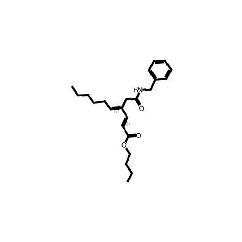 CCCCC/C=C(/C=C/C(=O)OCCCC)CC(=O)NCc1ccccc1